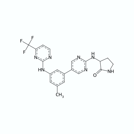 Cc1cc(Nc2nccc(C(F)(F)F)n2)cc(-c2cnc(NC3CCNC3=O)nc2)c1